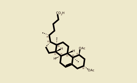 CC(=O)O[C@@H]1CC2=CC[C@H]3[C@@H]4CC[C@H]([C@H](C)CCCC(=O)O)[C@@]4(C)CC[C@@H]3[C@@]2(C)[C@@H](OC(C)=O)C1